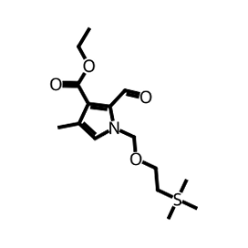 CCOC(=O)c1c(C)cn(COCCS(C)(C)C)c1C=O